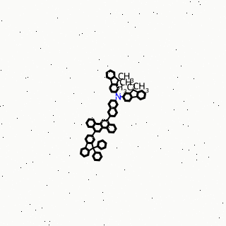 CC1(C)c2ccccc2-c2ccc(N(c3ccc4c(c3)C(C)(C)c3ccccc3-4)c3ccc4cc(-c5cc6c7ccccc7c(-c7ccc8c(c7)C(c7ccccc7)(c7ccccc7)c7ccccc7-8)cc6c6ccccc56)ccc4c3)cc21